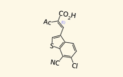 CC(=O)/C(=C\c1csc2c(C#N)c(Cl)ccc12)C(=O)O